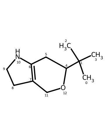 CC(C)(C)C1CC2=C(CCN2)CO1